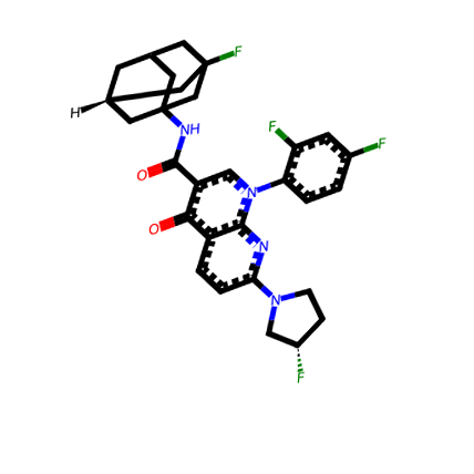 O=C(NC12CC3C[C@H](CC(F)(C3)C1)C2)c1cn(-c2ccc(F)cc2F)c2nc(N3CC[C@H](F)C3)ccc2c1=O